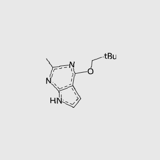 Cc1nc(OCC(C)(C)C)c2cc[nH]c2n1